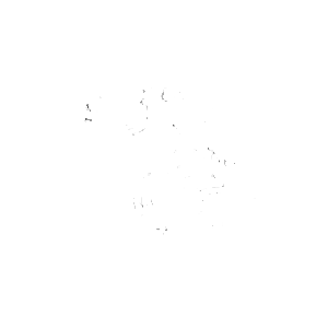 COC(=O)C=C(C)N[C@@H]1C(=O)N2C(C(=O)[O-])=C(COC(C)=O)CS[C@H]12.[Na+]